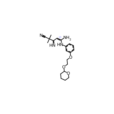 CC(C)(C#N)C(=N)/C=C(/N)Nc1cccc(OCCOC2CCCCO2)c1